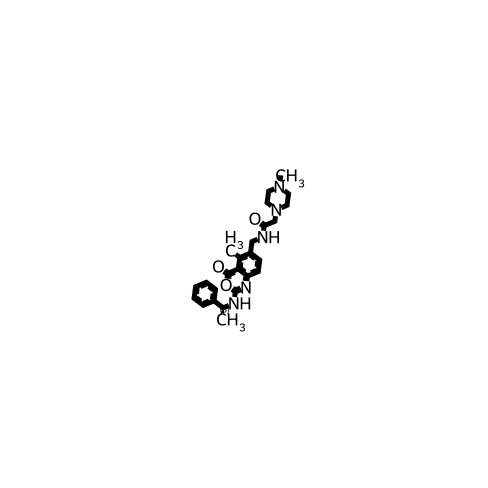 Cc1c(CNC(=O)CN2CCN(C)CC2)ccc2nc(N[C@@H](C)c3ccccc3)oc(=O)c12